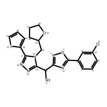 SC(c1noc(-c2cccc(Cl)c2)n1)c1nnc(-c2cccs2)n1CC1CCCO1